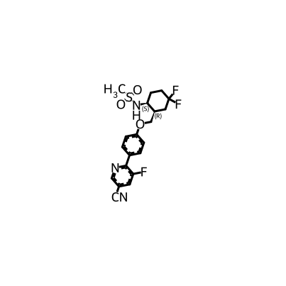 CS(=O)(=O)N[C@H]1CCC(F)(F)C[C@H]1COc1ccc(-c2ncc(C#N)cc2F)cc1